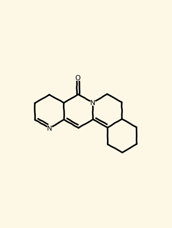 O=C1C2CCC=NC2=CC2=C3CCCCC3CCN12